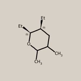 CC[C@H]1CC(C)C(C)O[C@H]1CC